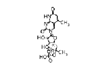 CCC(C)(C[C@H]1O[C@@H](n2cc3c(C)cc(=O)[nH]c3nc2=O)[C@@H](O)C1O)OP(=O)(O)O